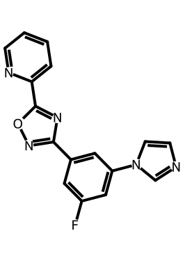 Fc1cc(-c2noc(-c3ccccn3)n2)cc(-n2ccnc2)c1